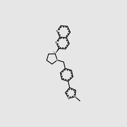 Cn1cc(-c2ccc(CN3CCC[C@H]3c3ccc4cccnc4n3)cc2)cn1